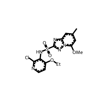 CCOc1ccnc(Cl)c1NS(=O)(=O)c1nc2cc(C)cc(OC)n2n1